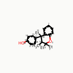 CCC1(CC)Oc2ccccc2C(CC)(c2ccc(O)cc2)C1C